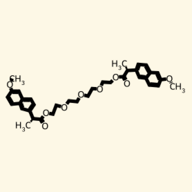 COc1ccc2cc([C@H](C)C(=O)OCCOCCOCCOCCOC(=O)[C@@H](C)c3ccc4cc(OC)ccc4c3)ccc2c1